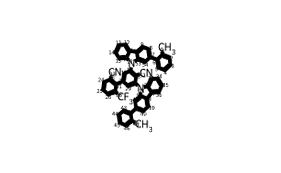 Cc1ccccc1-c1ccc2c3ccccc3n(-c3cc(-c4c(C#N)cccc4C(F)(F)F)cc(-n4c5ccccc5c5ccc(-c6ccccc6C)cc54)c3C#N)c2c1